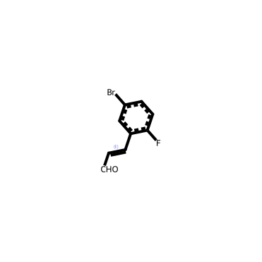 O=C/C=C/c1cc(Br)ccc1F